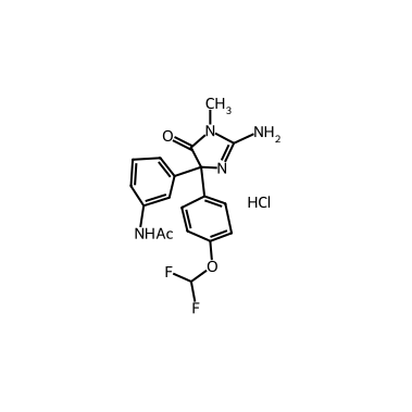 CC(=O)Nc1cccc(C2(c3ccc(OC(F)F)cc3)N=C(N)N(C)C2=O)c1.Cl